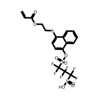 C=CC(=O)OCCSc1ccc(OS(=O)(=O)C(F)(F)C(F)(F)C(F)(F)S(=O)(=O)O)c2ccccc12